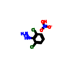 NNc1c(Cl)cccc1Cl.O=[N+]([O-])O